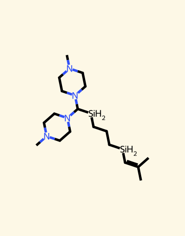 CC(C)=C[SiH2]CCC[SiH2]C(N1CCN(C)CC1)N1CCN(C)CC1